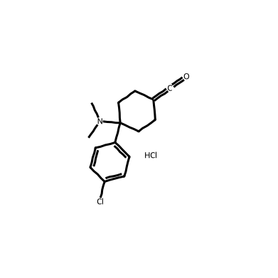 CN(C)C1(c2ccc(Cl)cc2)CCC(=C=O)CC1.Cl